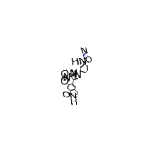 CN(C)/C=C/C(=O)Nc1cccc(-n2cc(-c3ccc4c(c3)CCNC4=O)c([N+](=O)[O-])n2)c1